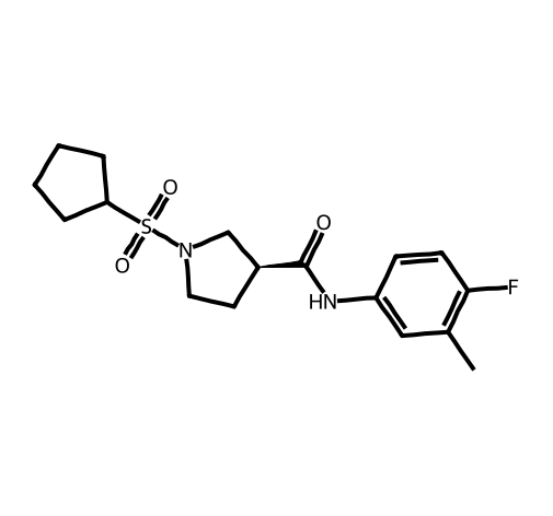 Cc1cc(NC(=O)[C@H]2CCN(S(=O)(=O)C3CCCC3)C2)ccc1F